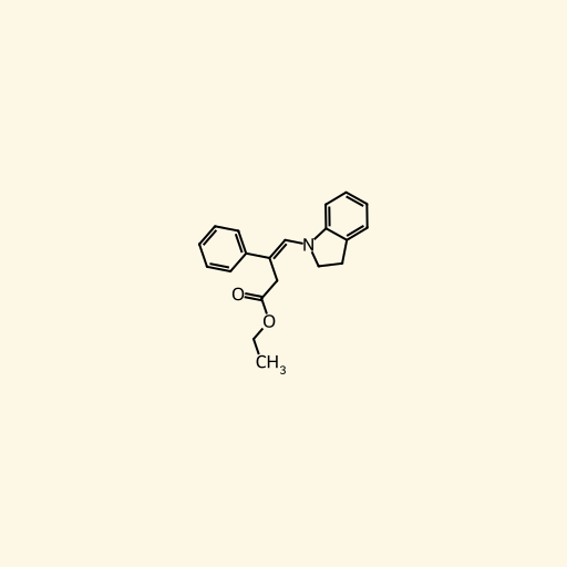 CCOC(=O)C/C(=C\N1CCc2ccccc21)c1ccccc1